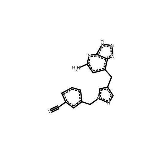 N#Cc1cccc(Cn2cc(Cc3cc(N)nc4[nH]nnc34)cn2)c1